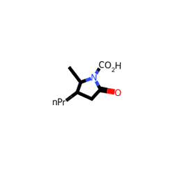 CCCC1CC(=O)N(C(=O)O)C1C